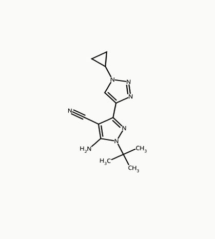 CC(C)(C)n1nc(-c2cn(C3CC3)nn2)c(C#N)c1N